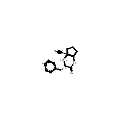 N#C[C@@]12CCCC1OC(=O)[C@H](Cc1ccccc1)N2